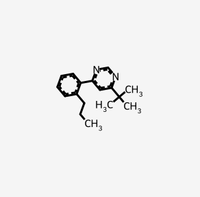 CCCc1ccccc1-c1cc(C(C)(C)C)ncn1